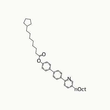 CCCCCCCCc1ccc(-c2ccc(-c3ccc(OC(=O)CCCCCCCC4CCCC4)cc3)cc2)nc1